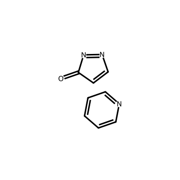 O=C1C=CN=N1.c1ccncc1